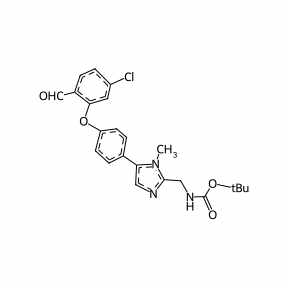 Cn1c(-c2ccc(Oc3cc(Cl)ccc3C=O)cc2)cnc1CNC(=O)OC(C)(C)C